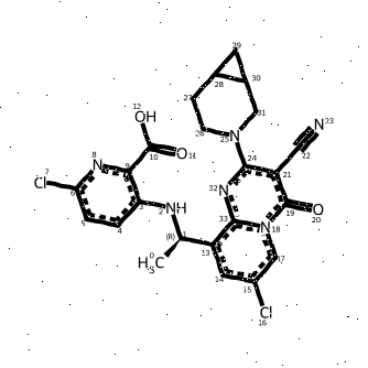 C[C@@H](Nc1ccc(Cl)nc1C(=O)O)c1cc(Cl)cn2c(=O)c(C#N)c(N3CCC4CC4C3)nc12